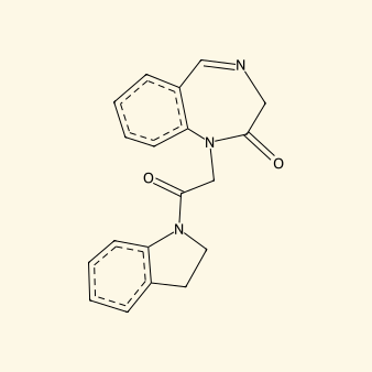 O=C1CN=Cc2ccccc2N1CC(=O)N1CCc2ccccc21